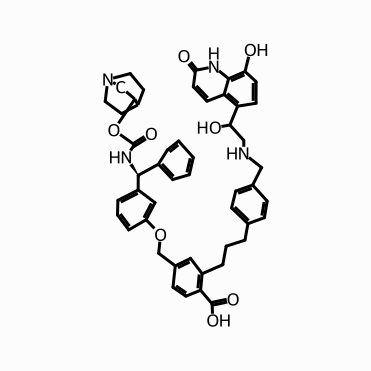 O=C(N[C@@H](c1ccccc1)c1cccc(OCc2ccc(C(=O)O)c(CCCc3ccc(CNCC(O)c4ccc(O)c5[nH]c(=O)ccc45)cc3)c2)c1)OC1CN2CCC1CC2